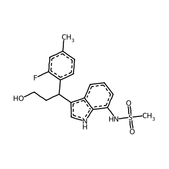 Cc1ccc(C(CCO)c2c[nH]c3c(NS(C)(=O)=O)cccc23)c(F)c1